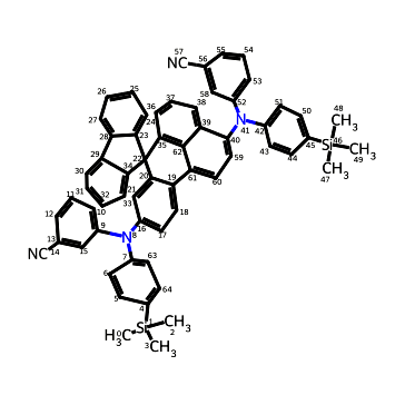 C[Si](C)(C)c1ccc(N(c2cccc(C#N)c2)c2ccc3c(c2)C2(c4ccccc4-c4ccccc42)c2cccc4c(N(c5ccc([Si](C)(C)C)cc5)c5cccc(C#N)c5)ccc-3c24)cc1